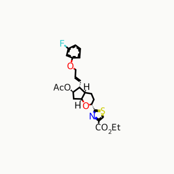 CCOC(=O)c1csc([C@H]2CC[C@@H]3[C@@H](/C=C/COc4cccc(F)c4)[C@H](OC(C)=O)C[C@@H]3O2)n1